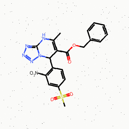 CC1=C(C(=O)OCc2ccccc2)C(c2ccc(S(C)(=O)=O)cc2[N+](=O)[O-])n2nnnc2N1